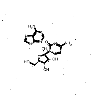 C[C@@]1(n2ccc(N)nc2=O)O[C@H](CO)[C@@H](O)[C@H]1O.Nc1ncnc2[nH]cnc12